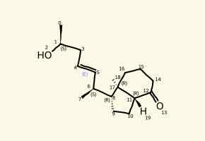 C[C@H](O)C/C=C/[C@H](C)[C@H]1CC[C@H]2C(=O)CCC[C@]12C